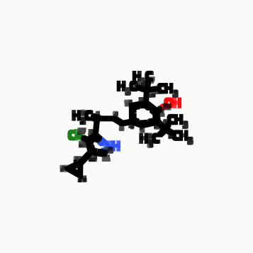 C=C(CCc1cc(C(C)(C)C)c(O)c(C(C)(C)C)c1)c1[nH]cc(C2CC2)c1Cl